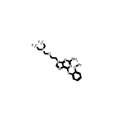 CC(C)Oc1ccccc1Sc1nc(N)nc2c1ncn2CCOCP(CC(F)(F)F)CC(F)(F)F